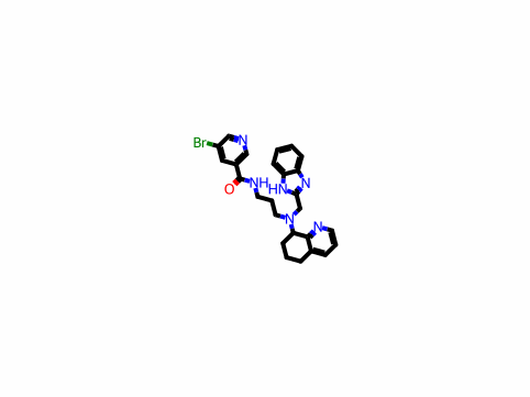 O=C(NCCCN(Cc1nc2ccccc2[nH]1)C1CCCc2cccnc21)c1cncc(Br)c1